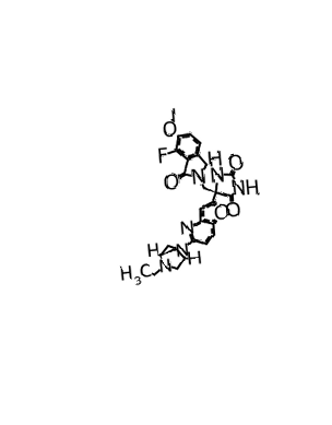 CCN1C[C@@H]2C[C@H]1CN2c1ccc2oc([C@]3(CN4Cc5ccc(OI)c(F)c5C4=O)NC(=O)NC3=O)cc2n1